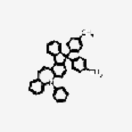 CC1=CC=C(C2(c3ccc(C)cc3)c3ccccc3-c3c2ccc2c3C=Cc3ccccc3N2c2ccccc2)CC1